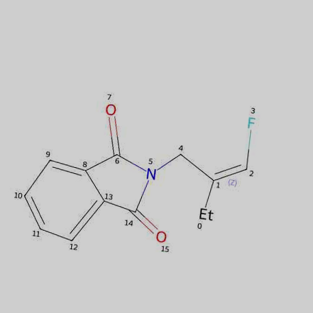 CC/C(=C/F)CN1C(=O)c2ccccc2C1=O